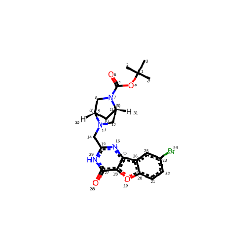 CC(C)(C)OC(=O)N1C[C@@H]2C[C@H]1CN2Cc1nc2c(oc3ccc(Br)cc32)c(=O)[nH]1